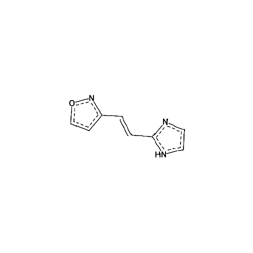 C(=Cc1ncc[nH]1)c1ccon1